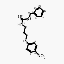 O=C(NCCCSc1ccc([N+](=O)[O-])cc1)OCc1ccccc1